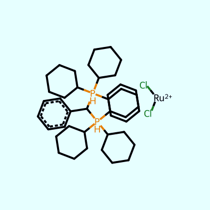 [Cl][Ru+2][Cl].c1ccc(C([PH](C2CCCCC2)(C2CCCCC2)C2CCCCC2)[PH](C2CCCCC2)(C2CCCCC2)C2CCCCC2)cc1